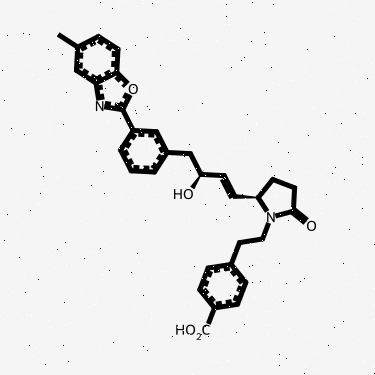 Cc1ccc2oc(-c3cccc(C[C@H](O)/C=C/[C@H]4CCC(=O)N4CCc4ccc(C(=O)O)cc4)c3)nc2c1